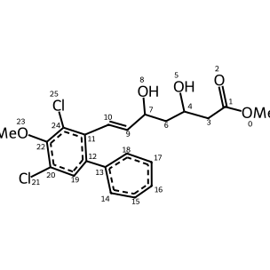 COC(=O)CC(O)CC(O)C=Cc1c(-c2ccccc2)cc(Cl)c(OC)c1Cl